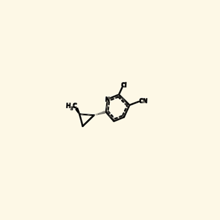 C[C@@H]1C[C@H]1c1ccc(C#N)c(Cl)n1